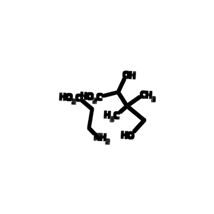 CC(C)(CO)C(O)C(=O)O.NCCC(=O)O